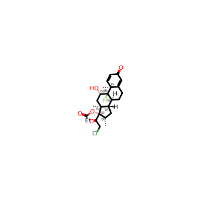 CCC(=O)O[C@@]1(C(=O)CCl)[C@@H](C)C[C@H]2[C@@H]3CCC4=CC(=O)C=C[C@]4(C)[C@@]3(F)[C@@H](O)C[C@@]21C